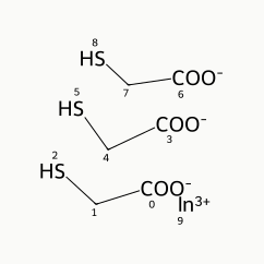 O=C([O-])CS.O=C([O-])CS.O=C([O-])CS.[In+3]